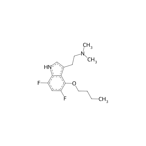 CCCCOc1c(F)cc(F)c2[nH]cc(CCN(C)C)c12